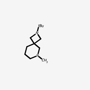 CN1CCCC2(C1)CN(C(C)(C)C)C2